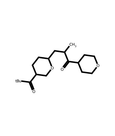 CC(CC1CCC(C(=O)C(C)(C)C)CO1)C(=O)C1CCOCC1